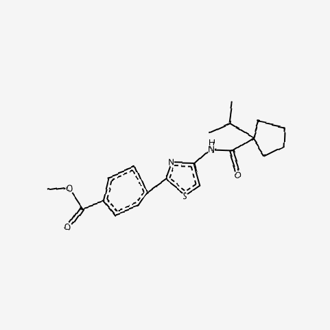 COC(=O)c1ccc(-c2nc(NC(=O)C3(C(C)C)CCCC3)cs2)cc1